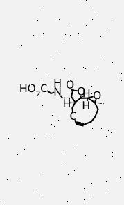 C[C@@]12CCCC#CCC[C@@H]3[C@H](OC(=O)[C@H]3CNCC(=O)O)[C@@H]1O2